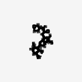 CN(C(=O)Cc1c2n(c(=S)n1C)CC(c1c(F)ccc(Br)c1F)C2)C1CCOC1